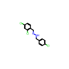 Clc1ccc(CN[N]Cc2ccc(Cl)cc2Cl)cc1